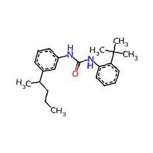 CCCC(C)c1cccc(NC(=O)Nc2ccccc2C(C)(C)C)c1